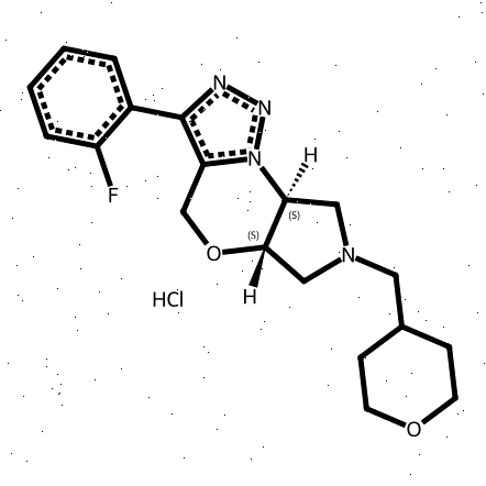 Cl.Fc1ccccc1-c1nnn2c1CO[C@H]1CN(CC3CCOCC3)C[C@@H]12